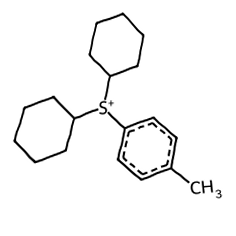 Cc1ccc([S+](C2CCCCC2)C2CCCCC2)cc1